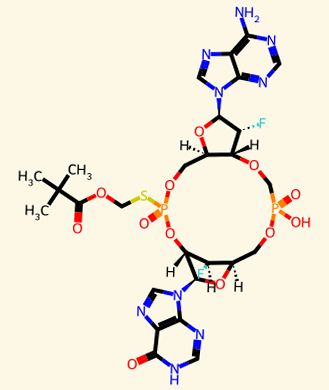 CC(C)(C)C(=O)OCSP1(=O)OC[C@H]2O[C@@H](n3cnc4c(N)ncnc43)[C@H](F)[C@@H]2OCP(=O)(O)OC[C@H]2O[C@@H](n3cnc4c(=O)[nH]cnc43)[C@H](O1)[C@@H]2F